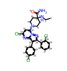 CCNC1(C(N)=O)CCN(c2cc(Cl)nc3c(-c4ccc(Cl)cc4)c(-c4ccccc4Cl)nn23)CC1